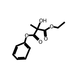 CCOC(=O)C(C)(O)C(=O)Oc1ccccc1